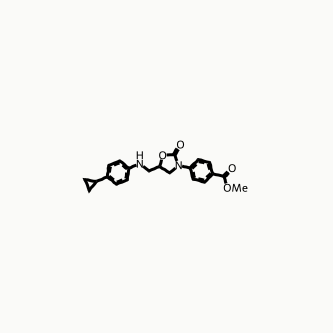 COC(=O)c1ccc(N2CC(CNc3ccc(C4CC4)cc3)OC2=O)cc1